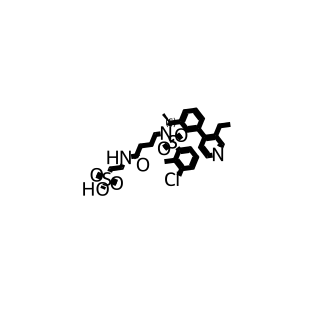 CCc1cnccc1-c1cccc([C@H](C)N(CCCC(=O)NCCS(=O)(=O)O)S(=O)(=O)c2cccc(Cl)c2C)c1